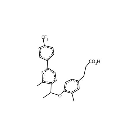 Cc1cc(CCC(=O)O)ccc1OC(C)c1ccc(-c2ccc(C(F)(F)F)cc2)nc1C